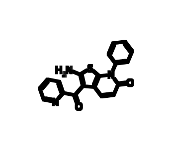 Nc1sc2c(ccc(=O)n2-c2ccccc2)c1C(=O)c1ccccn1